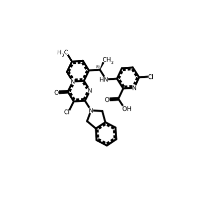 Cc1cc([C@@H](C)Nc2ccc(Cl)nc2C(=O)O)c2nc(N3Cc4ccccc4C3)c(Cl)c(=O)n2c1